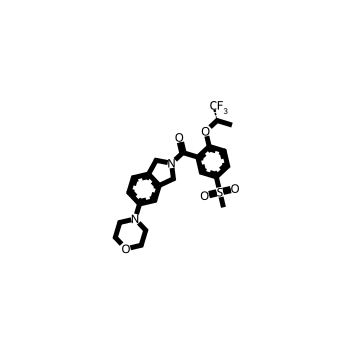 C[C@H](Oc1ccc(S(C)(=O)=O)cc1C(=O)N1Cc2ccc(N3CCOCC3)cc2C1)C(F)(F)F